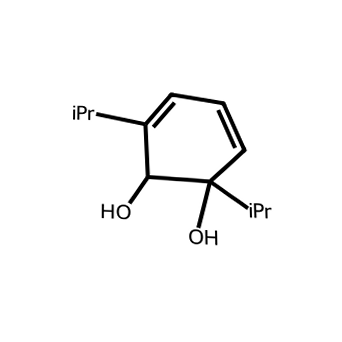 CC(C)C1=CC=CC(O)(C(C)C)C1O